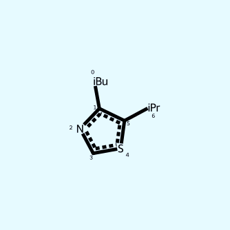 CCC(C)c1ncsc1C(C)C